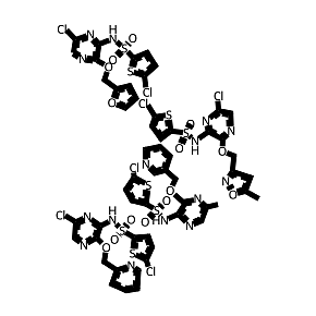 Cc1cc(COc2ncc(Cl)nc2NS(=O)(=O)c2ccc(Cl)s2)no1.Cc1cnc(NS(=O)(=O)c2ccc(Cl)s2)c(OCc2cccnc2)n1.O=S(=O)(Nc1nc(Cl)cnc1OCc1ccccn1)c1ccc(Cl)s1.O=S(=O)(Nc1nc(Cl)cnc1OCc1ccco1)c1ccc(Cl)s1